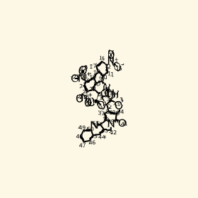 CC[C@@]1(OC(=O)[C@@H]2ON=C3c4cc([N+](=O)[O-])ccc4-c4c([N+](=O)[O-])cc([N+](=O)[O-])c2c43)C(=O)OCc2c1cc1n(c2=O)Cc2cc3ccccc3nc2-1